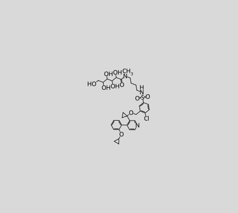 CN(CCCCNS(=O)(=O)c1ccc(Cl)c(COC2(c3cnccc3-c3ccccc3OC3CC3)CC2)c1)C(=O)C(O)C(O)C(O)C(O)CO